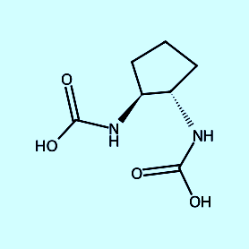 O=C(O)N[C@H]1CCC[C@@H]1NC(=O)O